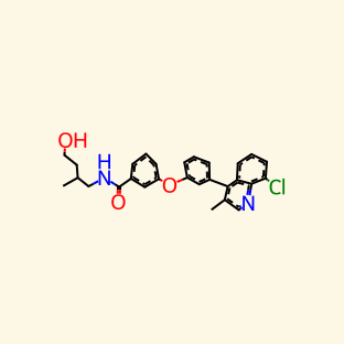 Cc1cnc2c(Cl)cccc2c1-c1cccc(Oc2cccc(C(=O)NCC(C)CCO)c2)c1